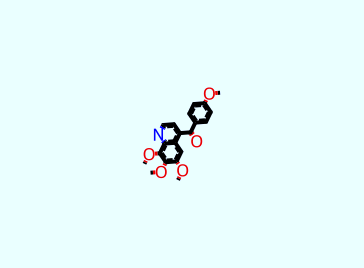 COc1ccc(C(=O)c2ccnc3c(OC)c(OC)c(OC)cc23)cc1